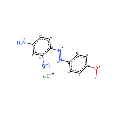 COc1ccc(N=Nc2ccc(N)cc2N)cc1.Cl